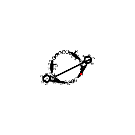 Cc1cc2ccc1OCCCOc1ccc(cc1C)-n1c3ccc4cc3c3cc(ccc31)COCc1ccc3c(c1)c1cc(ccc1n3-2)COC4